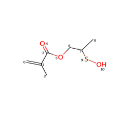 C=C(C)C(=O)OCC(C)SO